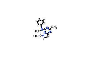 CCOC(=O)N1C=CC2=NC(C)=NC(N(C)c3ccccc3)N21